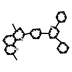 Cc1ccc2ccc3c(C)cc(-c4ccc(-c5cc(-c6ccccc6)cc(-c6ccccc6)n5)cc4)nc3c2n1